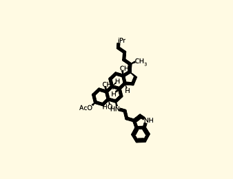 CC(=O)O[C@H]1CC[C@]2(C)[C@H]3CC[C@]4(C)[C@@H]([C@H](C)CCCC(C)C)CC[C@H]4[C@@H]3C[C@@H](NCCc3c[nH]c4ccccc34)[C@@]2(O)C1